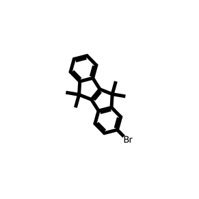 CC1(C)C2=C(c3ccccc31)C(C)(C)c1cc(Br)ccc12